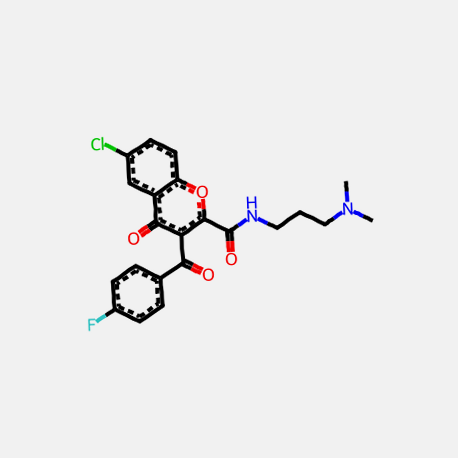 CN(C)CCCNC(=O)c1oc2ccc(Cl)cc2c(=O)c1C(=O)c1ccc(F)cc1